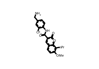 CCCc1c(OC)ccc2cc(C(=O)Nc3ccc(CN)cc3C(F)(F)F)c(=O)oc12